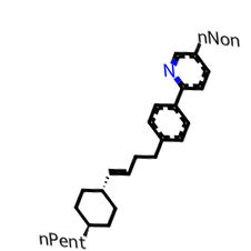 CCCCCCCCCc1ccc(-c2ccc(CCC=C[C@H]3CC[C@H](CCCCC)CC3)cc2)nc1